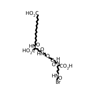 O=C(O)CCCCCCCCCCCCCCC(=O)NC(CCC(=O)NCCOCCOCC(=O)NC(CCCCNC(=O)CBr)C(=O)O)C(=O)O